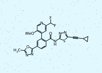 COc1cnc(C(F)F)cc1-c1cc(-c2nnc(C)o2)ccc1C(=O)Nc1nnc(C#CC2CC2)s1